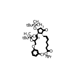 CC(C)OC(=O)CCC/C=C\C[C@H]1C(=O)C[C@@H](O[Si](C)(C)C(C)(C)C)[C@@H]1/C=C/C(COc1cccc(C(F)(F)F)c1)O[Si](C)(C)C(C)(C)C